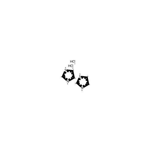 Cl.Cl.c1cscn1.c1cscn1